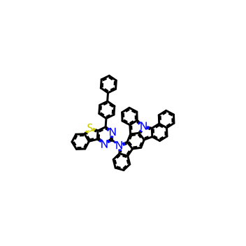 c1ccc(-c2ccc(-c3nc(-n4c5ccccc5c5cc6c7ccc8ccccc8c7n7c8ccccc8c(c54)c67)nc4c3sc3ccccc34)cc2)cc1